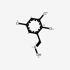 O/N=C/c1cc(Cl)cc(Cl)c1Cl